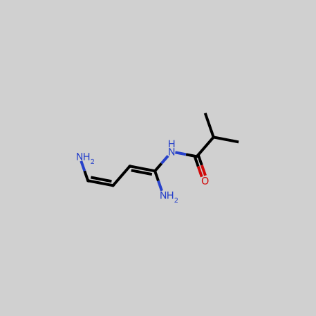 CC(C)C(=O)N/C(N)=C/C=C\N